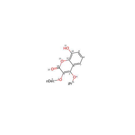 CCCCCCCCCCOc1c(OC(C)C)c2cccc(O)c2oc1=O